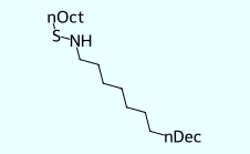 CCCCCCCCCCCCCCCCCNSCCCCCCCC